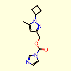 Cc1cc(COC(=O)n2ccnc2)nn1C1CCC1